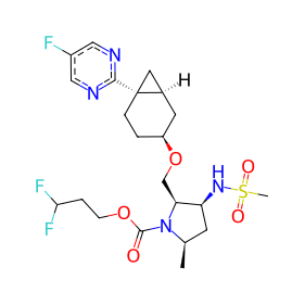 C[C@@H]1C[C@H](NS(C)(=O)=O)[C@H](CO[C@H]2CC[C@@]3(c4ncc(F)cn4)C[C@H]3C2)N1C(=O)OCCC(F)F